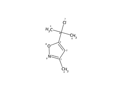 Cc1cc(C(C)(C)Cl)on1